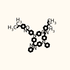 CCC(C)c1ccc2oc(-c3ccc(N(c4ccccc4)c4ccc(-c5nc6ccccc6nc5-c5ccc(N(c6ccccc6)c6ccc(-c7nc8cc(C(C)CC)ccc8o7)cc6)cc5)cc4)cc3)nc2c1